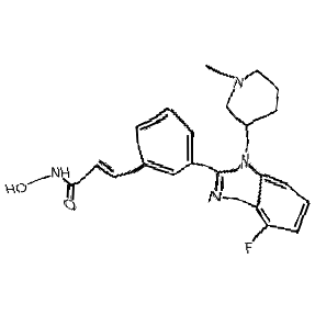 CN1CCCC(n2c(-c3cccc(C=CC(=O)NO)c3)nc3c(F)cccc32)C1